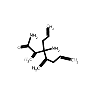 C=CCC(=C)C(N)(CC=C)C(=C)C(N)=O